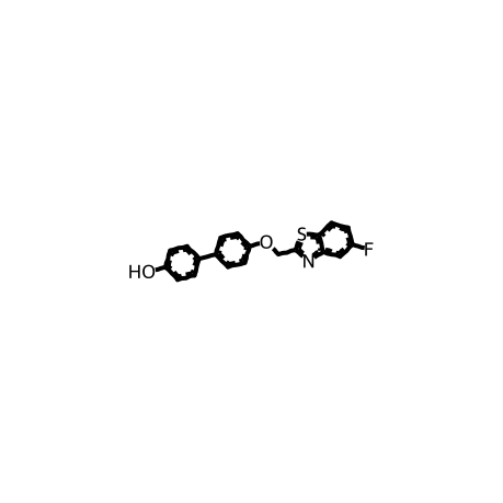 Oc1ccc(-c2ccc(OCc3nc4cc(F)ccc4s3)cc2)cc1